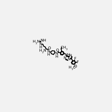 CCc1cc(Nc2nccn3c(-c4ccc(OC)c(F)c4F)cnc23)ccc1C(=O)N[C@H]1CC[C@H](NC(=O)[C@@H](N)CCCNC(=N)N)CC1